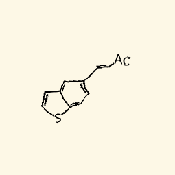 CC(=O)C=Cc1ccc2sccc2c1